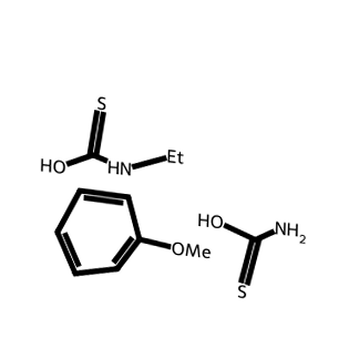 CCNC(O)=S.COc1ccccc1.NC(O)=S